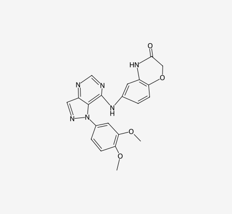 COc1ccc(-n2ncc3ncnc(Nc4ccc5c(c4)NC(=O)CO5)c32)cc1OC